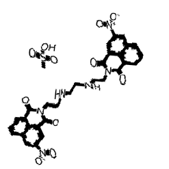 CS(=O)(=O)O.O=C1c2cccc3cc([N+](=O)[O-])cc(c23)C(=O)N1CCNCCNCCN1C(=O)c2cccc3cc([N+](=O)[O-])cc(c23)C1=O